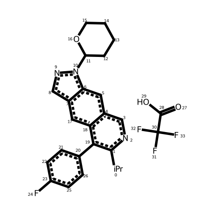 CC(C)c1ncc2cc3c(cnn3C3CCCCO3)cc2c1-c1ccc(F)cc1.O=C(O)C(F)(F)F